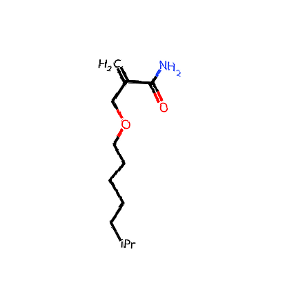 C=C(COCCCCCC(C)C)C(N)=O